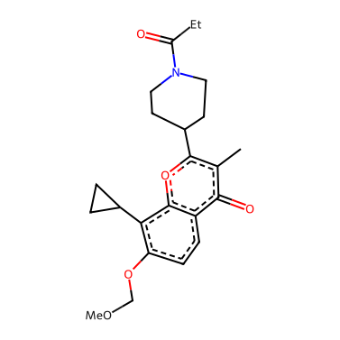 CCC(=O)N1CCC(c2oc3c(C4CC4)c(OCOC)ccc3c(=O)c2C)CC1